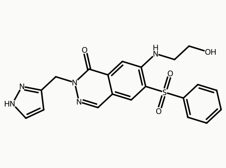 O=c1c2cc(NCCO)c(S(=O)(=O)c3ccccc3)cc2cnn1Cc1cc[nH]n1